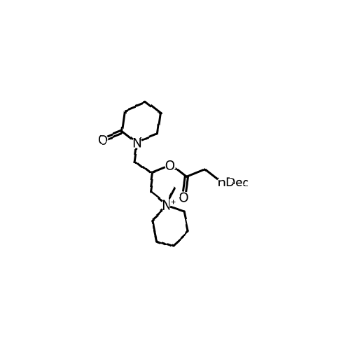 CCCCCCCCCCCC(=O)OC(CN1CCCCC1=O)C[N+]1(C)CCCCC1